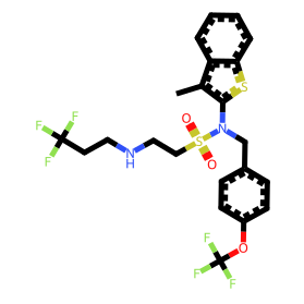 Cc1c(N(Cc2ccc(OC(F)(F)F)cc2)S(=O)(=O)CCNCCC(F)(F)F)sc2ccccc12